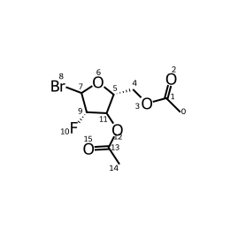 CC(=O)OC[C@H]1OC(Br)[C@@H](F)C1OC(C)=O